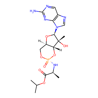 CC(C)OC(=O)[C@H](C)N[P@]1(=O)OC[C@H]2O[C@@H](n3cnc4cnc(N)nc43)[C@](C)(O)[C@@H]2O1